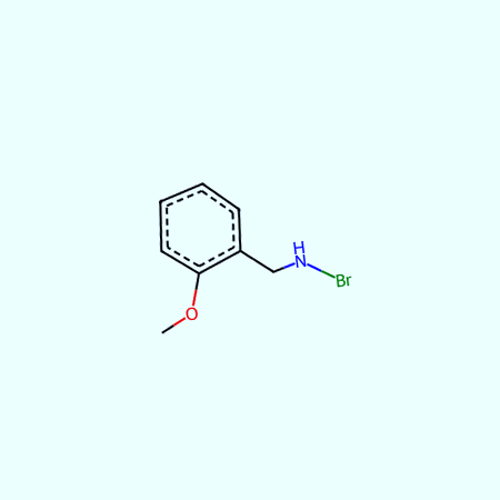 COc1ccccc1CNBr